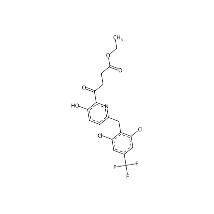 CCOC(=O)CCC(=O)c1nc(Cc2c(Cl)cc(C(F)(F)F)cc2Cl)ccc1O